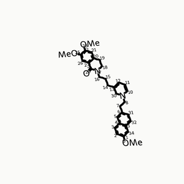 COc1ccc2cc(CCN3C=CC=C(CCCN4CCc5cc(OC)c(OC)cc5C4=O)C3)ccc2c1